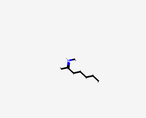 [CH2]C(CCCCC)=NC